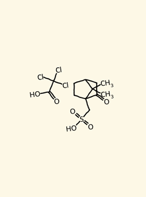 CC1(C)C2CCC1(CS(=O)(=O)O)C(=O)C2.O=C(O)C(Cl)(Cl)Cl